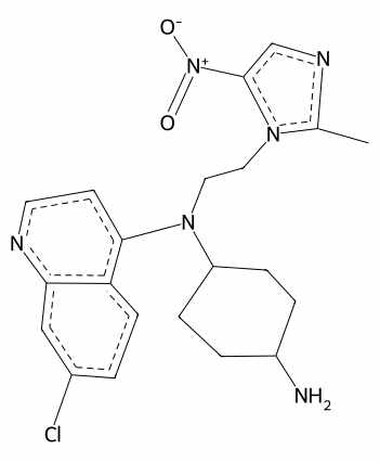 Cc1ncc([N+](=O)[O-])n1CCN(c1ccnc2cc(Cl)ccc12)C1CCC(N)CC1